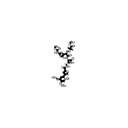 CCCCOc1cc(-c2cc(C(=O)NC[C@H]3NC(=O)[C@H]3NC(=O)/C(=N\OC(C)(C)C(=O)OC(C)(C)C)c3csc(NC(=O)OC(C)(C)C)n3)on2)[n+]([O-])cc1OCCCC